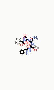 CC(C)[C@H](NC(=O)[C@H](CC(=O)O)NC(=O)[C@H](CC(N)=O)NC(=O)[C@@H](NC(=O)[C@@H](N)Cc1ccccc1)[C@@H](C)O)C(=O)O